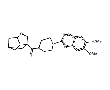 COc1cc2cnc(N3CCN(C(=O)C45COC6CC(CC64)C5)CC3)nc2cc1OC